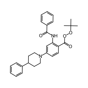 CC(C)(C)OOC(=O)c1ccc(N2CCC(c3ccccc3)CC2)cc1NC(=O)c1ccccc1